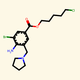 Nc1c(Br)cc(C(=O)OCCCCCCl)cc1CN1CCCC1